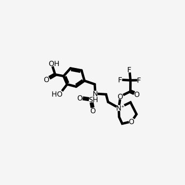 O=C(O)c1ccc(CN(CC[N+]2(OC(=O)C(F)(F)F)CCOCC2)[SH](=O)=O)cc1O